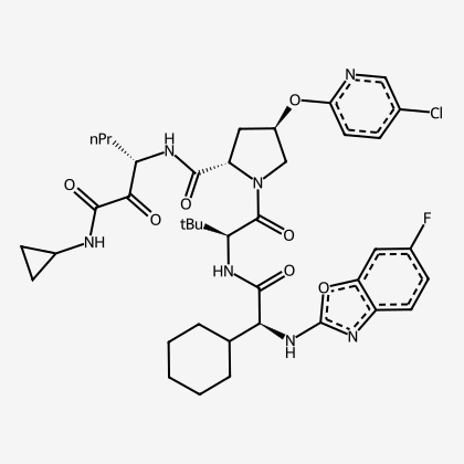 CCC[C@H](NC(=O)[C@@H]1C[C@@H](Oc2ccc(Cl)cn2)CN1C(=O)[C@@H](NC(=O)[C@@H](Nc1nc2ccc(F)cc2o1)C1CCCCC1)C(C)(C)C)C(=O)C(=O)NC1CC1